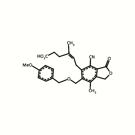 COc1ccc(COCc2c(C)c3c(c(C#N)c2CC=C(C)CCC(=O)O)C(=O)OC3)cc1